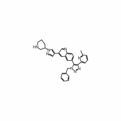 Cc1cccc(-c2nnn(Cc3ccccc3)c2-c2ccc3ncc(-c4cnn(C5CCCNC5)c4)cc3c2)n1